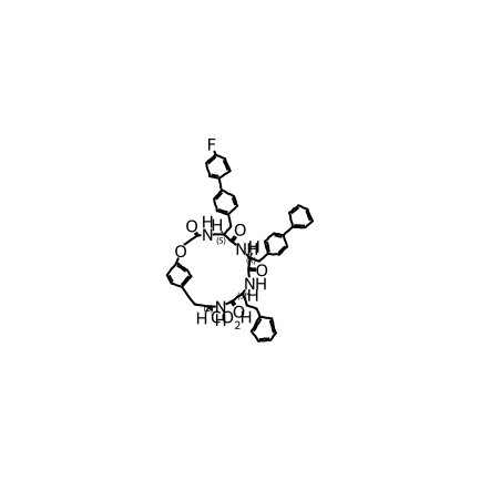 O=C1COc2ccc(cc2)C[C@@H](C(=O)O)NC(=O)[C@H](CCc2ccccc2)NC(=O)[C@@H](Cc2ccc(-c3ccccc3)cc2)NC(=O)[C@H](Cc2ccc(-c3ccc(F)cc3)cc2)N1